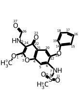 COc1oc2cc(NS(C)(=O)=O)c(Oc3ccccc3)cc2c(=O)c1NC=O